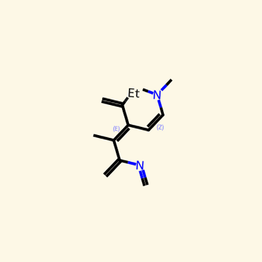 C=NC(=C)/C(C)=C(\C=C/N(C)C)C(=C)CC